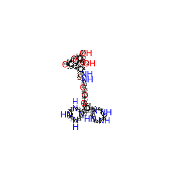 O=C(O)c1cc(NC(=S)NCCOCCOCCOc2cc(CN3CCNCCNCCNCC3)cc(CN3CCNCCNCCNCC3)c2)ccc1-c1c2ccc(=O)cc-2oc2cc(O)ccc12